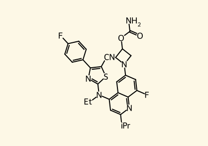 CCN(c1nc(-c2ccc(F)cc2)c(C#N)s1)c1cc(C(C)C)nc2c(F)cc(N3CC(OC(N)=O)C3)cc12